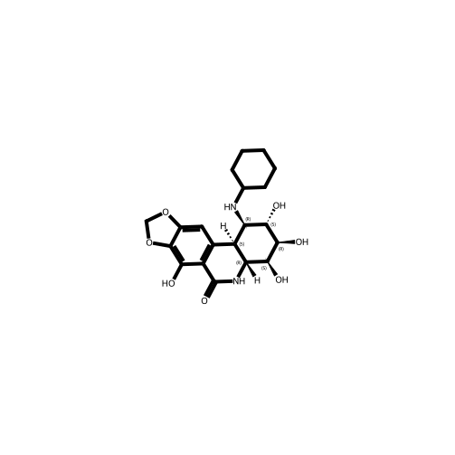 O=C1N[C@H]2[C@H](O)[C@H](O)[C@@H](O)[C@H](NC3CCCCC3)[C@@H]2c2cc3c(c(O)c21)OCO3